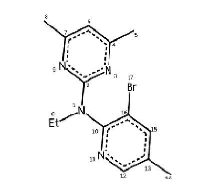 CCN(c1nc(C)cc(C)n1)c1ncc(C)cc1Br